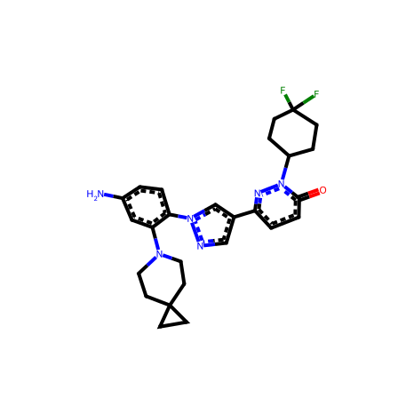 Nc1ccc(-n2cc(-c3ccc(=O)n(C4CCC(F)(F)CC4)n3)cn2)c(N2CCC3(CC2)CC3)c1